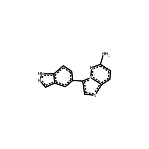 Nc1ccc2ncc(-c3ccc4[nH]ncc4c3)n2n1